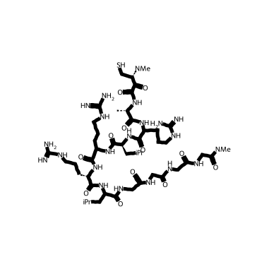 CNC(=O)CNC(=O)CNC(=O)CNC(=O)CNC(=O)C(CC(C)C)NC(=O)[C@H](CCCNC(=N)N)NC(=O)C(CCCNC(=N)N)NC(=O)[C@H](CC(C)C)NC(=O)C(CCCNC(=N)N)NC(=O)[C@H](C)NC(=O)C(=O)[C@H](CS)NC